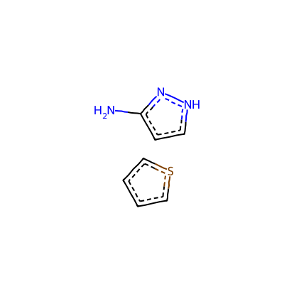 Nc1cc[nH]n1.c1ccsc1